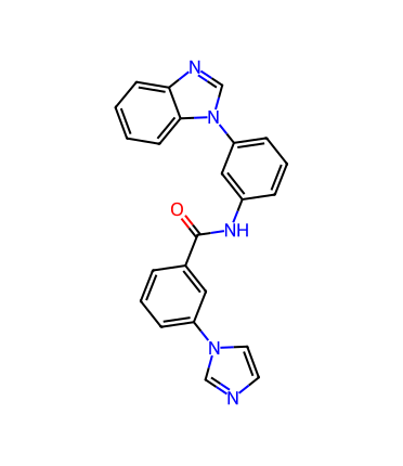 O=C(Nc1cccc(-n2cnc3ccccc32)c1)c1cccc(-n2ccnc2)c1